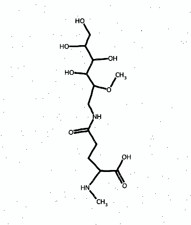 CNC(CCC(=O)NCC(OC)C(O)C(O)C(O)CO)C(=O)O